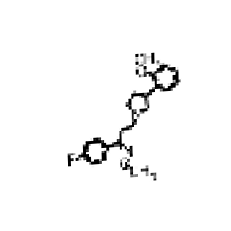 CON=C(CCN1CCC(c2ccccc2OC)C1)c1ccc(F)cc1